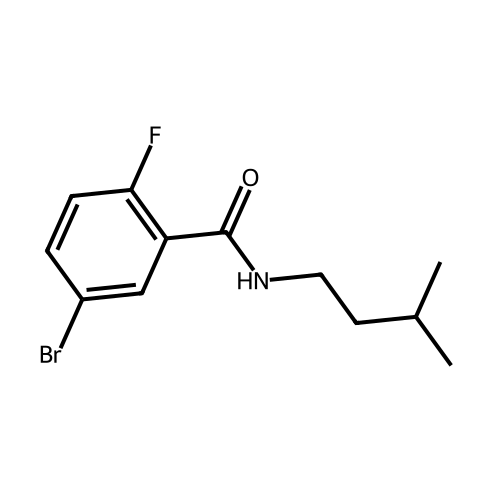 CC(C)CCNC(=O)c1cc(Br)ccc1F